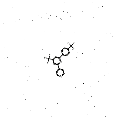 FC(F)(F)c1ccc(-c2cc(C(F)(F)F)nc(-c3ccncc3)n2)cc1